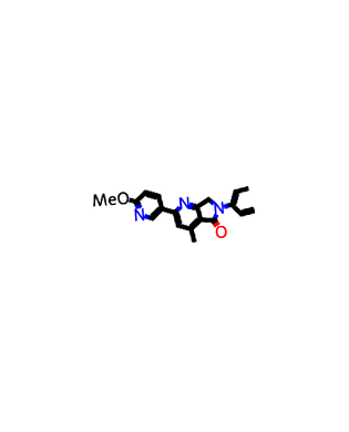 C=C/C(=C\C)N1Cc2nc(-c3ccc(OC)nc3)cc(C)c2C1=O